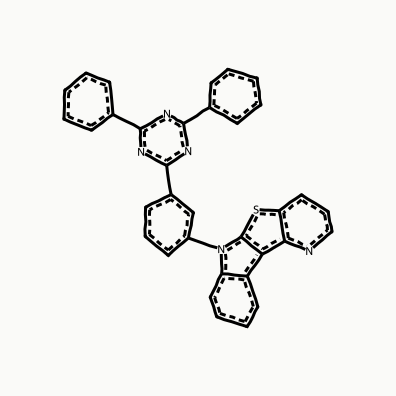 c1ccc(-c2nc(-c3ccccc3)nc(-c3cccc(-n4c5ccccc5c5c6ncccc6sc54)c3)n2)cc1